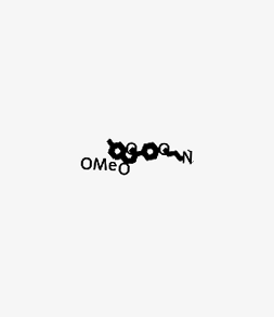 COc1cc(C)cc2oc(-c3ccc(OCCCN(C)C)cc3)cc(=O)c12